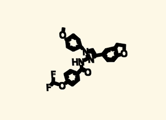 COc1ccc(-n2cc(-c3ccc4c(c3)CCO4)nc2NC(=O)c2ccc(OC(F)F)cc2)cc1